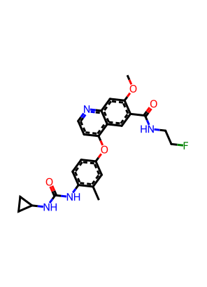 COc1cc2nccc(Oc3ccc(NC(=O)NC4CC4)c(C)c3)c2cc1C(=O)NCCF